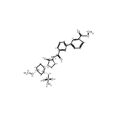 COC(=O)c1cccc(-c2cccc(C(=O)N[C@H]3CCN([C@H]4CC[C@@H](OC)C[C@H]4CS(C)(=O)=O)C3=O)c2)c1